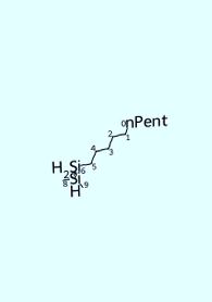 CCCCCCCCCC[SiH2][SiH](C)C